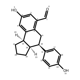 O=Cc1cc(O)cc2c1C[C@@H](c1ccc(O)cc1)[C@H]1CCC[C@@H]21